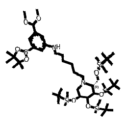 COC(OC)c1cc(NCCCCCCN2CC(O[Si](C)(C)C(C)(C)C)C(O[Si](C)(C)C(C)(C)C)C(O[Si](C)(C)C(C)(C)C)[C@H]2CO[Si](C)(C)C(C)(C)C)cc(B2OC(C)(C)C(C)(C)O2)c1